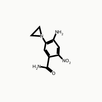 NC(=O)c1cc(N2CC2)c(N)cc1[N+](=O)[O-]